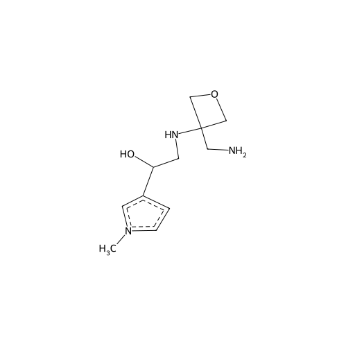 Cn1ccc(C(O)CNC2(CN)COC2)c1